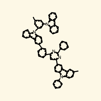 Cc1cc(-n2c3ccccc3c3ccccc32)cc(-n2c3ccccc3c3cc(-c4cccc(-c5cc(-c6ccc7c(c6)c6cc(C)ccc6n7-c6ccccc6)nc(-c6ccccc6)n5)c4)ccc32)c1